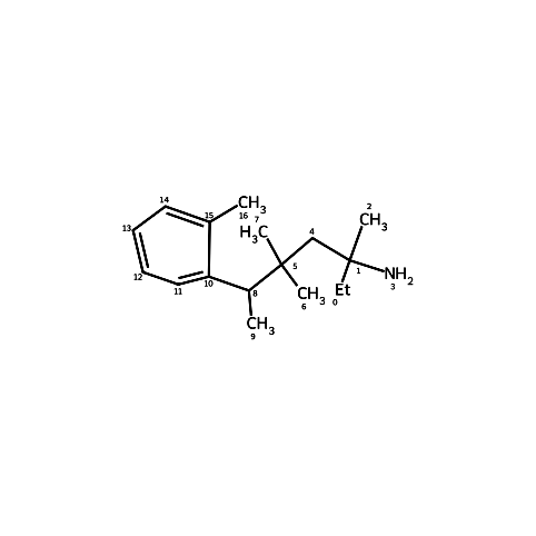 CCC(C)(N)CC(C)(C)C(C)c1ccccc1C